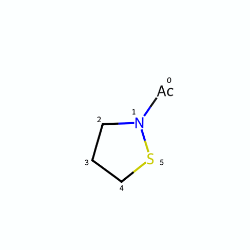 CC(=O)N1CCCS1